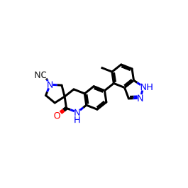 Cc1ccc2[nH]ncc2c1-c1ccc2c(c1)CC1(CCN(C#N)C1)C(=O)N2